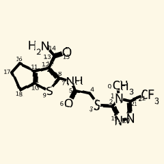 Cn1c(SCC(=O)Nc2sc3c(c2C(N)=O)CCC3)nnc1C(F)(F)F